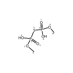 COP(=O)(O)SP(=O)(O)OC